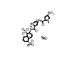 Cn1cc([N+](=O)[O-])cc1C(=O)Nc1cc(C(=O)Nc2ccc3c(S(=O)(=O)[O-])cccc3c2S(=O)(=O)[O-])n(C)c1.[Na+].[Na+]